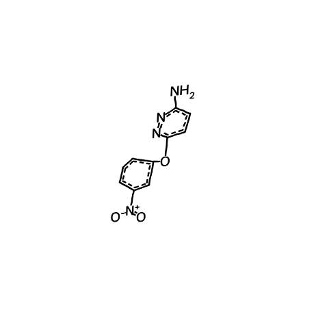 Nc1ccc(Oc2cccc([N+](=O)[O-])c2)nn1